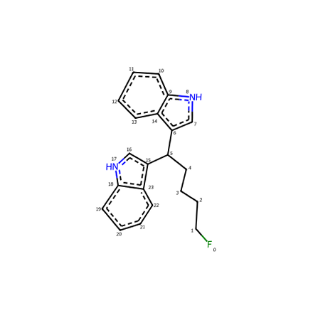 FCCCCC(c1c[nH]c2ccccc12)c1c[nH]c2ccccc12